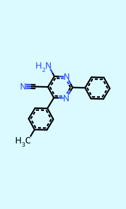 Cc1ccc(-c2nc(-c3ccccc3)nc(N)c2C#N)cc1